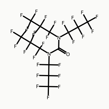 O=C(N(C(F)(F)C(F)(F)C(F)(F)F)C(F)(F)C(F)(F)C(F)(F)F)N(C(F)(F)C(F)(F)C(F)(F)F)C(F)(F)C(F)(F)C(F)(F)F